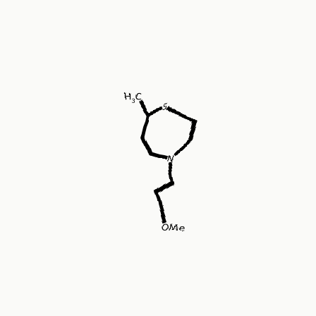 COCCN1CCSC(C)CC1